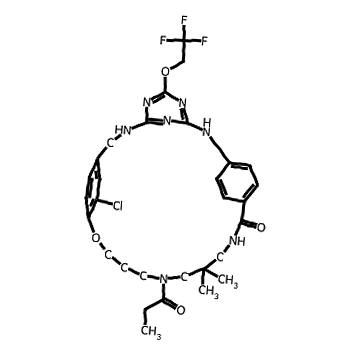 CCC(=O)N1CCCOc2ccc(cc2Cl)CNc2nc(nc(OCC(F)(F)F)n2)Nc2ccc(cc2)C(=O)NCC(C)(C)C1